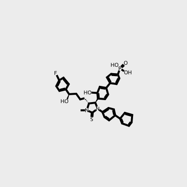 CN1C(=S)N(c2ccc(-c3ccccc3)cc2)[C@H](c2ccc(-c3ccc(P(=O)(O)O)cc3)cc2O)[C@H]1CCC[C@@H](O)c1ccc(F)cc1